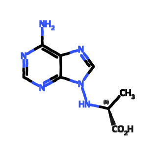 C[C@H](Nn1cnc2c(N)ncnc21)C(=O)O